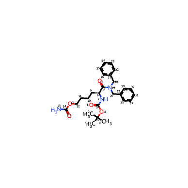 CC(C)(C)OC(=O)N[C@@H](CCCCOC(N)=O)C(=O)N(Cc1ccccc1)Cc1ccccc1